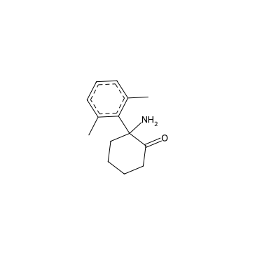 Cc1cccc(C)c1C1(N)CCCCC1=O